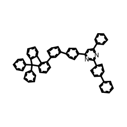 c1ccc(-c2ccc(-c3nc(-c4ccccc4)cc(-c4ccc(-c5cccc(-c6cccc7c6-c6ccccc6C7(c6ccccc6)c6ccccc6)c5)cc4)n3)cc2)cc1